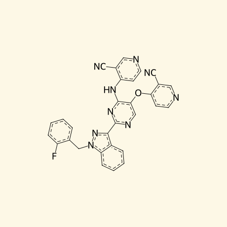 N#Cc1cnccc1Nc1nc(-c2nn(Cc3ccccc3F)c3ccccc23)ncc1Oc1ccncc1C#N